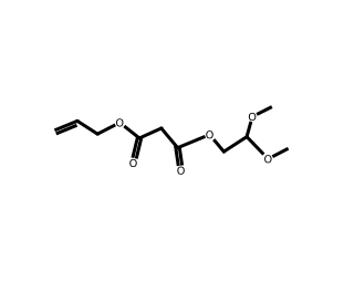 C=CCOC(=O)CC(=O)OCC(OC)OC